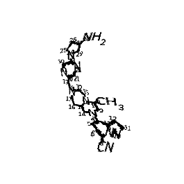 CC1CN(c2ccc(C#N)n3nccc23)CC2CCN(Cc3cnc(N4CCC(N)C4)cn3)CCN12